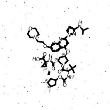 C=C[C@@H]1C[C@]1(NC(=O)[C@@H]1C[C@@H](Oc2cc(-n3ccc(NC(C)C)n3)nc3cc(OCCN4CCOCC4)ccc23)CN1C(=O)[C@@H](NC(=O)OC1C[C@@H](C)[C@@H](C)C1)C(C)(C)C)C(=O)O